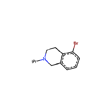 CC(C)N1CCc2c(Br)cccc2C1